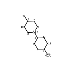 CCC1CCC(N2CCC(C)CC2)CC1